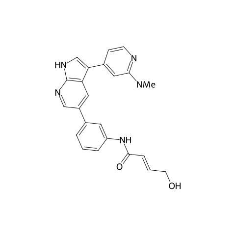 CNc1cc(-c2c[nH]c3ncc(-c4cccc(NC(=O)C=CCO)c4)cc23)ccn1